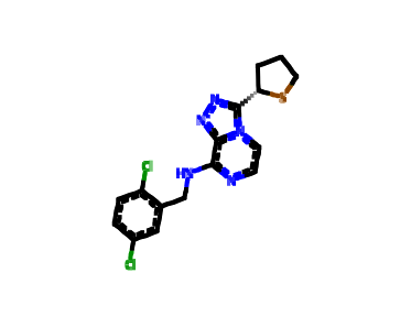 Clc1ccc(Cl)c(CNc2nccn3c([C@@H]4CCCS4)nnc23)c1